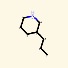 [CH2]CCC1CCCNC1